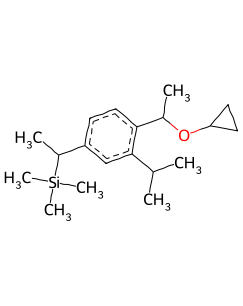 CC(C)c1cc(C(C)[Si](C)(C)C)ccc1C(C)OC1CC1